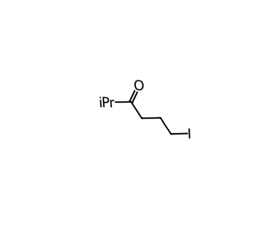 CC(C)C(=O)CCCI